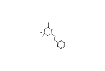 CC1(C)CC(=S)[CH]C(SCc2ccccc2)C1